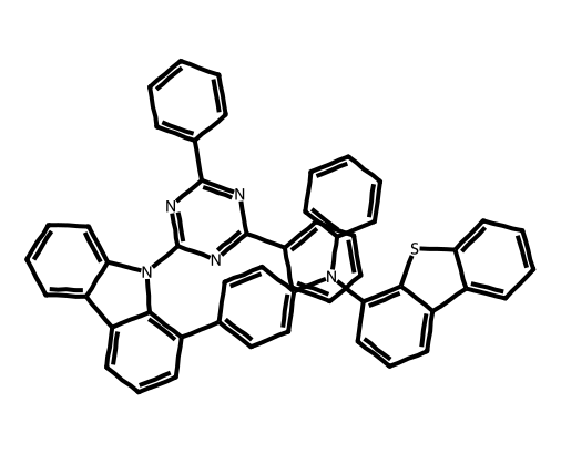 c1ccc(-c2nc(-c3ccccc3)nc(-n3c4ccccc4c4cccc(-c5ccc(N(c6ccccc6)c6cccc7c6sc6ccccc67)cc5)c43)n2)cc1